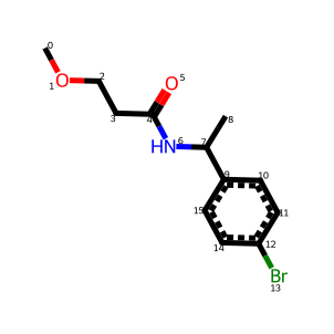 COCCC(=O)NC(C)c1ccc(Br)cc1